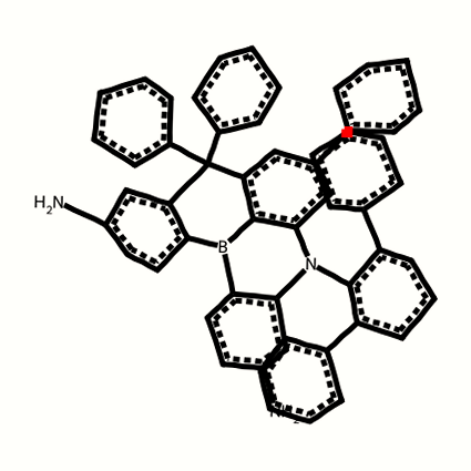 Nc1ccc2c(c1)N(c1c(-c3ccccc3)cccc1-c1ccccc1)c1cc(-c3ccccc3)cc3c1B2c1ccc(N)cc1C3(c1ccccc1)c1ccccc1